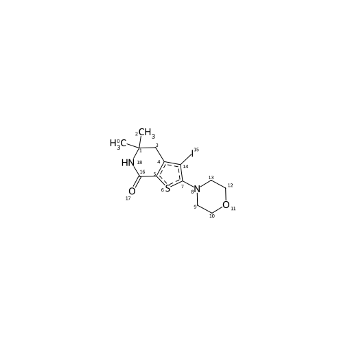 CC1(C)Cc2c(sc(N3CCOCC3)c2I)C(=O)N1